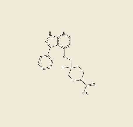 CC(=O)N1CCC(F)(COc2ccnc3[nH]cc(-c4ccccc4)c23)CC1